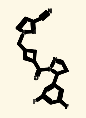 N#Cc1ccn(CC23CC(C(=O)N4N=CCC4c4cc(F)cc(F)c4)(C2)C3)n1